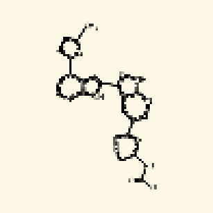 CCC(=O)Nc1cncc(-c2cnc3[nH]nc(-c4cc5c(-c6ccc(C)s6)ccnc5[nH]4)c3c2)c1